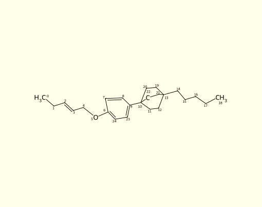 CCC=CCOc1ccc(C23CCC(CCCCC)(CC2)CC3)cc1